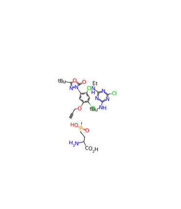 C#CCOc1cc(-n2nc(C(C)(C)C)oc2=O)c(Cl)cc1Cl.CCNc1nc(Cl)nc(NC(C)(C)C)n1.CP(=O)(O)CCC(N)C(=O)O